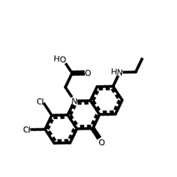 CCNc1ccc2c(=O)c3ccc(Cl)c(Cl)c3n(CC(=O)O)c2c1